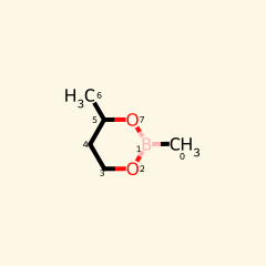 CB1OCCC(C)O1